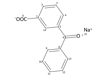 O=C([O-])c1cccc(C(=O)c2ccccc2)c1.[Na+]